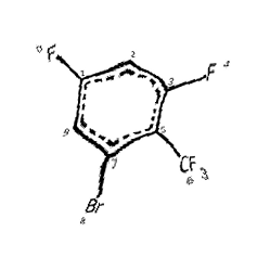 Fc1cc(F)c(C(F)(F)F)c(Br)c1